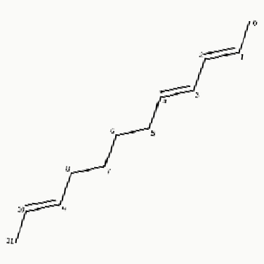 CC=CC=CCCCCC=CC